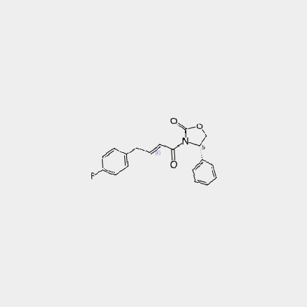 O=C(/C=C/Cc1ccc(F)cc1)N1C(=O)OC[C@@H]1c1ccccc1